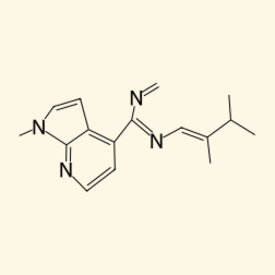 C=N/C(=N\C=C(/C)C(C)C)c1ccnc2c1ccn2C